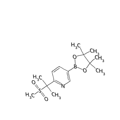 CC1(C)OB(c2ccc(C(C)(C)S(C)(=O)=O)nc2)OC1(C)C